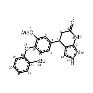 COc1cc(C2CC(=O)Nc3n[nH]cc32)ccc1Oc1ccccc1C(C)(C)C